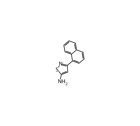 Nc1cc(-c2cccc3ccccc23)ns1